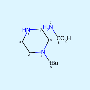 CC(C)(C)N1CCNCC1.NC(=O)O